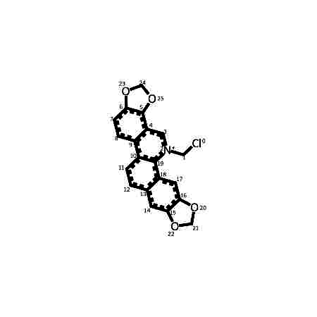 ClC[n+]1cc2c3c(ccc2c2ccc4cc5c(cc4c21)OCO5)OCO3